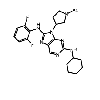 CC(=O)N1CCC(n2c(Nc3c(F)cccc3F)nc3cnc(NC4CCCCC4)nc32)C1